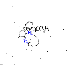 O=C(O)C1=CC=CC2=NCCCCCCN(c3ccccc3C(=O)O)C12